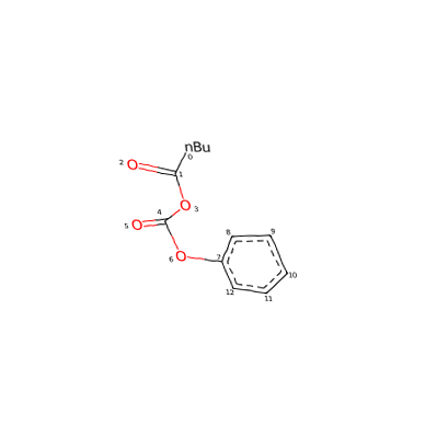 CCCCC(=O)OC(=O)Oc1ccccc1